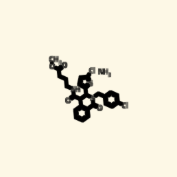 COC(=O)CCCNC(=O)C1c2ccccc2C(=O)N(Cc2ccc(Cl)cc2)C1c1ccc(Cl)s1.N